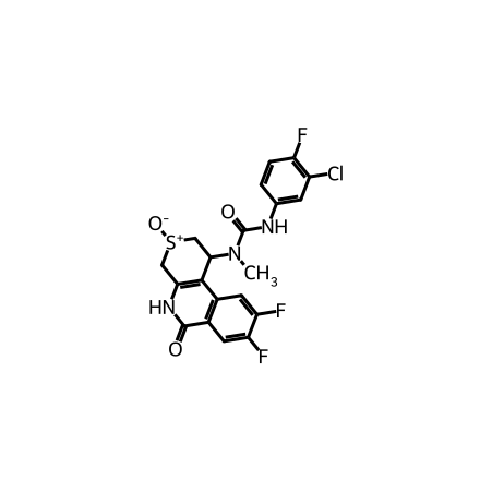 CN(C(=O)Nc1ccc(F)c(Cl)c1)C1C[S+]([O-])Cc2[nH]c(=O)c3cc(F)c(F)cc3c21